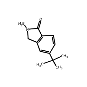 BN1Cc2cc(C(C)(C)C)ccc2C1=O